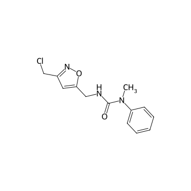 CN(C(=O)NCc1cc(CCl)no1)c1ccccc1